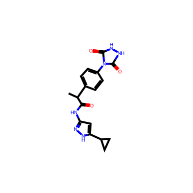 CC(C(=O)Nc1cc(C2CC2)[nH]n1)c1ccc(-n2c(=O)[nH][nH]c2=O)cc1